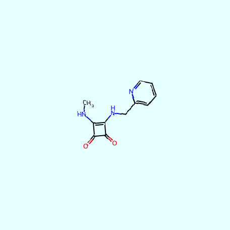 CNc1c(NCc2ccccn2)c(=O)c1=O